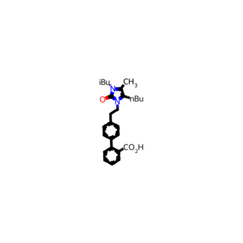 CCCCc1c(C)n(C(C)CC)c(=O)n1CCc1ccc(-c2ccccc2C(=O)O)cc1